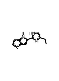 CCc1c[nH]c(-c2cc3sccc3n2C)n1